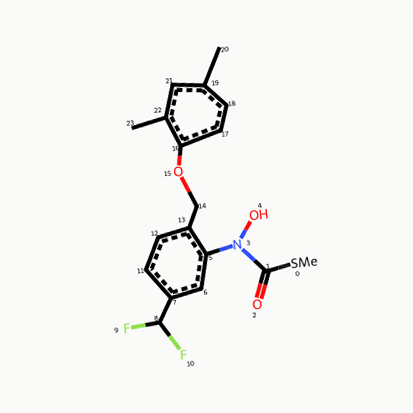 CSC(=O)N(O)c1cc(C(F)F)ccc1COc1ccc(C)cc1C